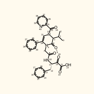 CC(C)C1C(=O)N(CC(=O)N[C@@H](Cc2ccccc2)C(=O)C(=O)O)C(c2ccccc2)=CN1C(=O)c1ccccn1